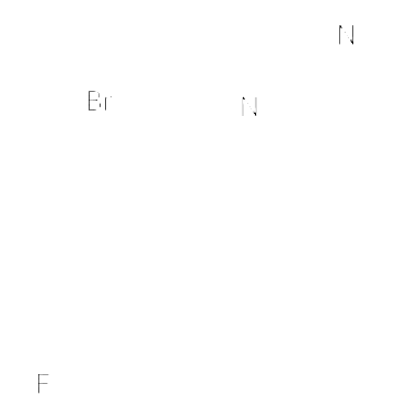 Fc1ccc(C[n+]2cccnc2)cc1.[Br-]